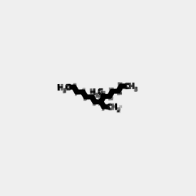 [CH2]CC(CCCCCCC)C(C)CCCCC